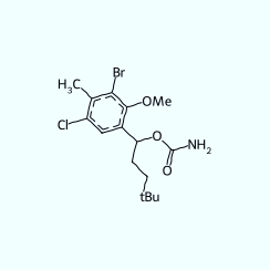 COc1c(C(CCC(C)(C)C)OC(N)=O)cc(Cl)c(C)c1Br